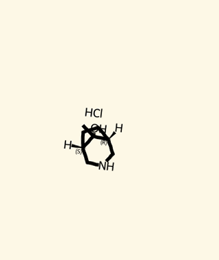 CC1(O)[C@@H]2CC[C@H]1CNC2.Cl